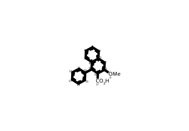 COc1cc2ccccc2c(-c2ccccc2)c1C(=O)O